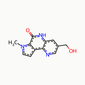 Cn1ccc2c3ncc(CO)cc3[nH]c(=O)c21